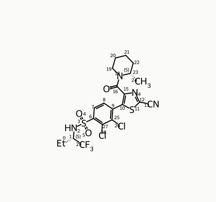 CC[C@H](NS(=O)(=O)c1ccc(-c2sc(C#N)nc2C(=O)N2CCCC[C@@H]2C)c(Cl)c1Cl)C(F)(F)F